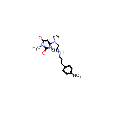 CCCN(CCNCCCc1ccc([N+](=O)[O-])cc1)c1cc(=O)n(C)c(=O)n1C